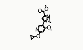 COC(=O)c1cc(-c2cnc(OC3CC3)cc2OC)n(C)n1